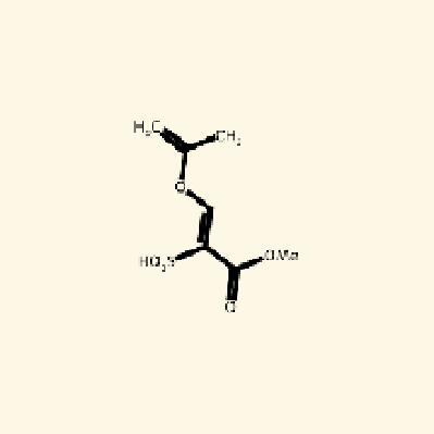 C=C(C)OC=C(C(=O)OC)S(=O)(=O)O